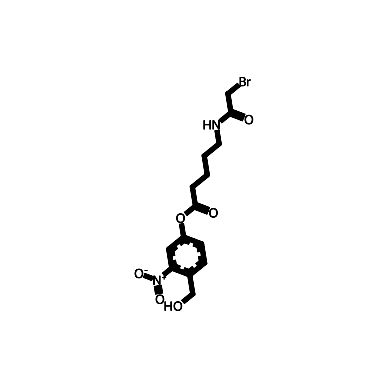 O=C(CBr)NCCCCC(=O)Oc1ccc(CO)c([N+](=O)[O-])c1